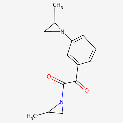 CC1CN1C(=O)C(=O)c1cccc(N2CC2C)c1